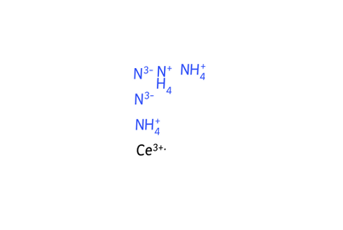 [Ce+3].[N-3].[N-3].[NH4+].[NH4+].[NH4+]